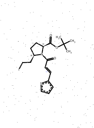 CC(C)(C)OC(=O)[C@@H]1CC[C@H](CCI)N1C(=O)/C=C/c1cccs1